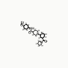 CCOc1ccc(NC(=O)C2CCN(c3cc(C(=O)N4CCCC4)ccn3)CC2)cc1